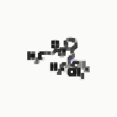 CCCC(=O)Oc1ccccc1/C=C/C(C)(C)C